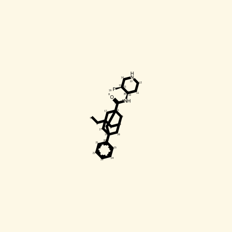 CCC12CC3CC(C(=O)N[C@@H]4CCNC[C@@H]4F)(C1)CC(c1ccccc1)(C3)C2